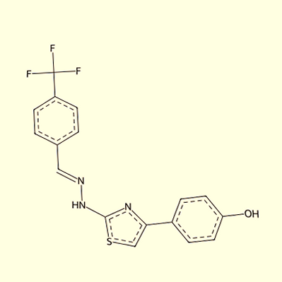 Oc1ccc(-c2csc(NN=Cc3ccc(C(F)(F)F)cc3)n2)cc1